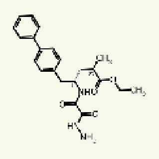 CCOC(=O)[C@H](C)C[C@@H](Cc1ccc(-c2ccccc2)cc1)NC(=O)C(=O)NN